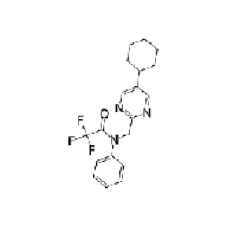 O=C(N(Cc1ncc(C2CCCCC2)cn1)c1ccccc1)C(F)(F)F